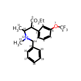 CCOC(=O)C(c1cccc(OC(F)(F)F)c1)C(C)N(C)Cc1ccccc1